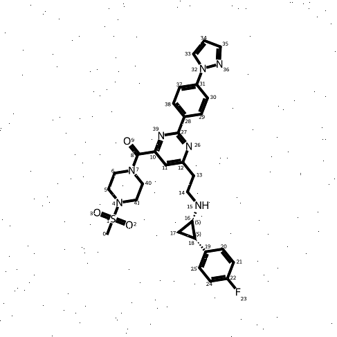 CS(=O)(=O)N1CCN(C(=O)c2cc(CCN[C@H]3C[C@H]3c3ccc(F)cc3)nc(-c3ccc(-n4cccn4)cc3)n2)CC1